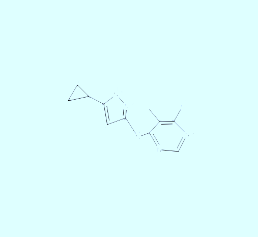 Fc1c(Cl)ncnc1Nc1cc(C2CC2)[nH]n1